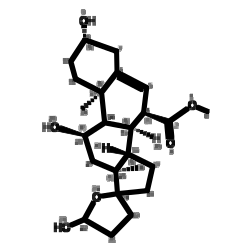 COC(=O)[C@@H]1C=C2C[C@@H](O)CC[C@]2(C)C2[C@@H]1[C@@H]1CCC3(CCC(O)O3)[C@@]1(C)C[C@H]2O